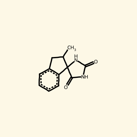 CC1Cc2ccccc2C12NC(=O)NC2=O